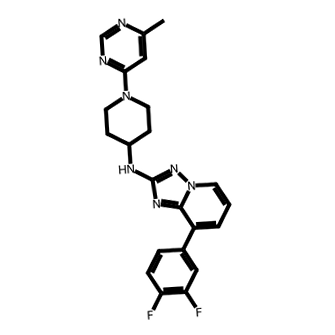 Cc1cc(N2CCC(Nc3nc4c(-c5ccc(F)c(F)c5)cccn4n3)CC2)ncn1